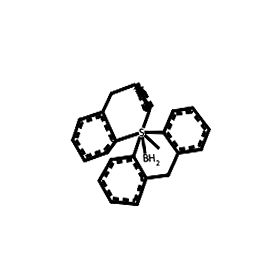 BS12(C)(c3ccccc3Cc3ccccc31)c1ccccc1Cc1ccccc12